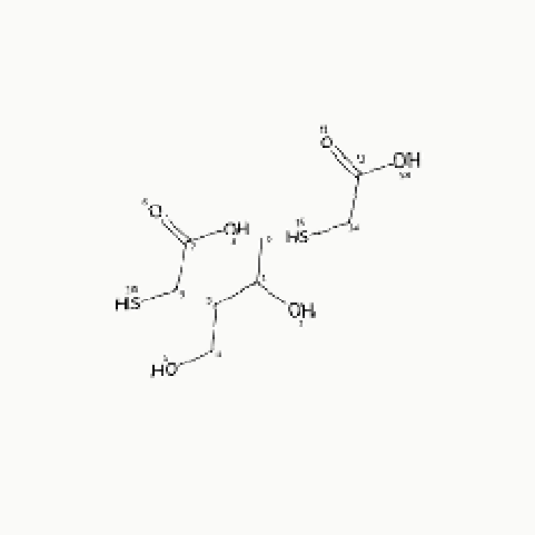 CC(O)CCO.O=C(O)CS.O=C(O)CS